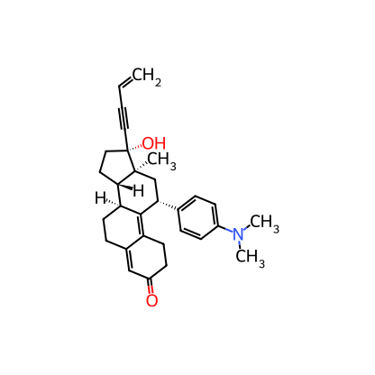 C=CC#C[C@]1(O)CC[C@H]2[C@@H]3CCC4=CC(=O)CCC4=C3[C@@H](c3ccc(N(C)C)cc3)C[C@@]21C